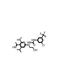 CNc1nc(N(CCO)NC(=O)Nc2cc(Cl)cc(C(F)(F)F)c2)cc(C(C)C)c1C(C)=N